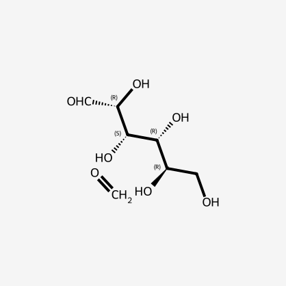 C=O.O=C[C@H](O)[C@@H](O)[C@H](O)[C@H](O)CO